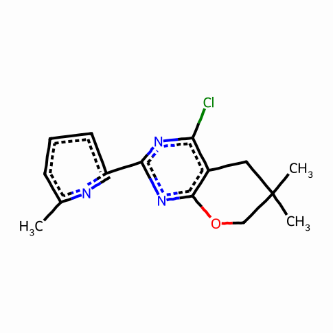 Cc1cccc(-c2nc(Cl)c3c(n2)OCC(C)(C)C3)n1